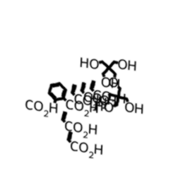 C=CC(=O)O.C=CC(=O)O.C=CC(=O)O.C=CC(=O)O.C=CC(=O)O.O=C(O)c1ccccc1C(=O)O.OCC(CO)(CO)COCC(CO)(CO)CO